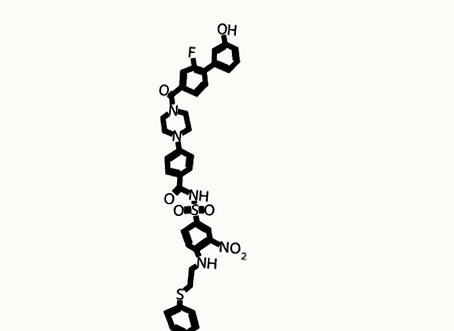 O=C(NS(=O)(=O)c1ccc(NCCSc2ccccc2)c([N+](=O)[O-])c1)c1ccc(N2CCN(C(=O)c3ccc(-c4cccc(O)c4)c(F)c3)CC2)cc1